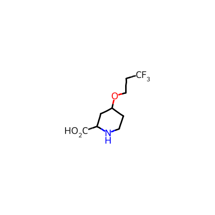 O=C(O)C1CC(OCCC(F)(F)F)CCN1